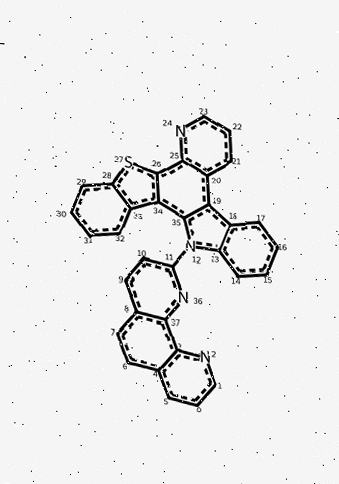 c1cnc2c(c1)ccc1ccc(-n3c4ccccc4c4c5cccnc5c5sc6ccccc6c5c43)nc12